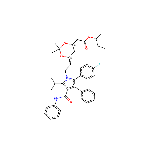 CCC(C)OC(=O)C[C@H]1C[C@@H](CCn2c(-c3ccc(F)cc3)c(-c3ccccc3)c(C(=O)Nc3ccccc3)c2C(C)C)OC(C)(C)O1